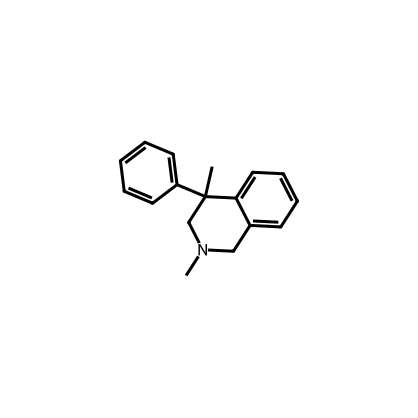 CN1Cc2ccccc2C(C)(c2ccccc2)C1